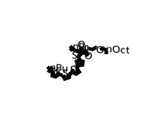 CCCCCCCCC(C)COCCCN1C(=O)c2c(-c3ccc(-c4ccc(-c5ccc(-c6ccc(C(C)(C)CCCC)s6)s5)s4)s3)sc(C(C)(C)CCC)c2C1=O